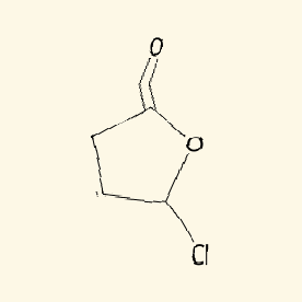 O=C1C[CH]C(Cl)O1